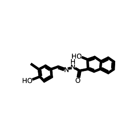 Cc1cc(/C=N/NC(=O)c2cc3ccccc3cc2O)ccc1O